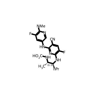 CCC[C@H](Nc1nc(Nc2cnc(NC)c(F)c2)c(C#N)cc1F)[C@H](C)NC(=O)O